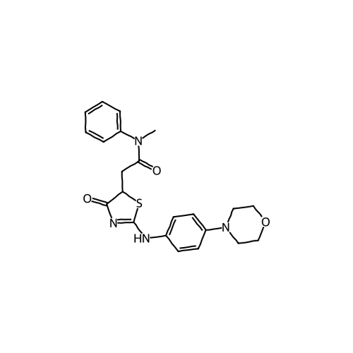 CN(C(=O)CC1SC(Nc2ccc(N3CCOCC3)cc2)=NC1=O)c1ccccc1